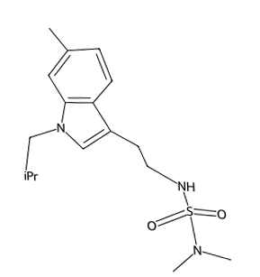 Cc1ccc2c(CCNS(=O)(=O)N(C)C)cn(CC(C)C)c2c1